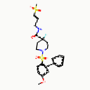 COc1ccc(S(=O)(=O)N2CCC(F)(C(=O)NC/C=C/S(C)(=O)=O)CC2)c(-c2ccccc2)c1